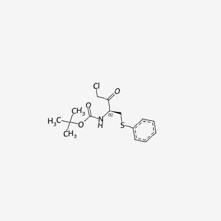 CC(C)(C)OC(=O)N[C@H](CSc1ccccc1)C(=O)CCl